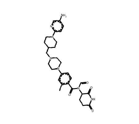 Cc1cc(N2CCN(CC3CCN(c4ccc(N)cn4)CC3)CC2)ccc1C(=O)N(C=O)C1CCC(=O)NC1=O